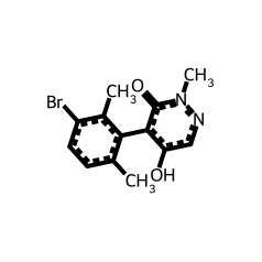 Cc1ccc(Br)c(C)c1-c1c(O)cnn(C)c1=O